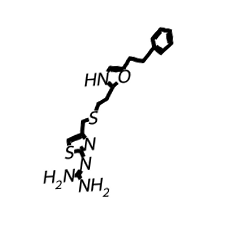 NC(N)=Nc1nc(CSCCC2NC=C(CCc3ccccc3)O2)cs1